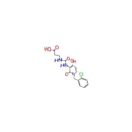 O=C(O)CCNC(=O)Nc1c(O)ccn(Cc2ccccc2Cl)c1=O